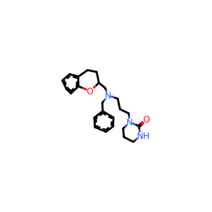 O=C1NCCCN1CCCN(Cc1ccccc1)CC1CCc2ccccc2O1